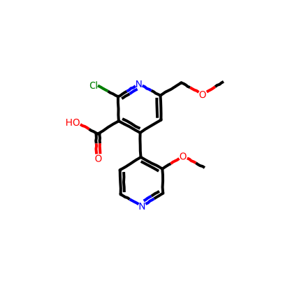 COCc1cc(-c2ccncc2OC)c(C(=O)O)c(Cl)n1